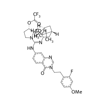 COc1ccc(CCn2cnc3cc(NC(=NC4C[C@H]5C[C@H]([C@H]4C)C5(C)C)N4CC[C@H](OC(=O)C(F)(F)F)[C@H]4C(=O)O)ccc3c2=O)c(F)c1